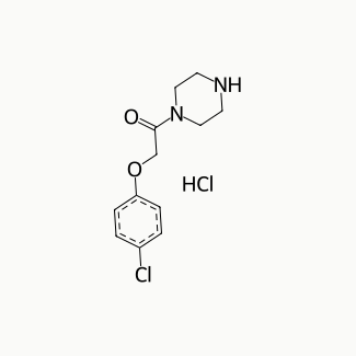 Cl.O=C(COc1ccc(Cl)cc1)N1CCNCC1